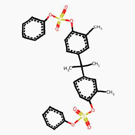 Cc1cc(C(C)(C)c2ccc(OS(=O)(=O)Oc3ccccc3)c(C)c2)ccc1OS(=O)(=O)Oc1ccccc1